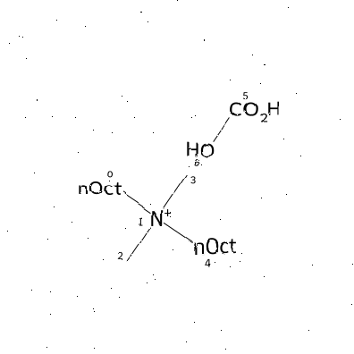 CCCCCCCC[N+](C)(C)CCCCCCCC.O=C(O)O